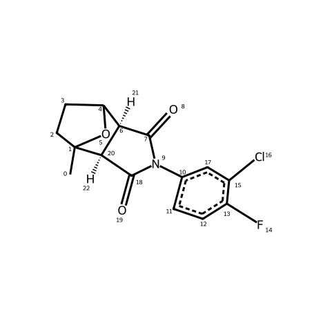 CC12CCC(O1)[C@H]1C(=O)N(c3ccc(F)c(Cl)c3)C(=O)[C@H]12